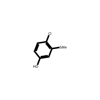 CSc1cc(O)ccc1Cl